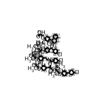 CC(C)(Oc1ccc(C2CC2(Cl)Cl)cc1)C(=O)O.CC(C)(Oc1ccc(CCNC(=O)c2ccc(Cl)cc2)cc1)C(=O)O.CC(C)OC(=O)C(C)(C)Oc1ccc(C(=O)c2ccc(Cl)cc2)cc1.CCOC(=O)C(C)(C)Oc1ccc(-c2ccc(Cl)cc2)cc1.Cc1c(OCC(=O)O)ccc(C2CCCc3ccccc32)c1C